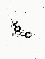 O=S(=O)(Cc1ccncc1)c1ccc(C(F)(F)F)cc1Br